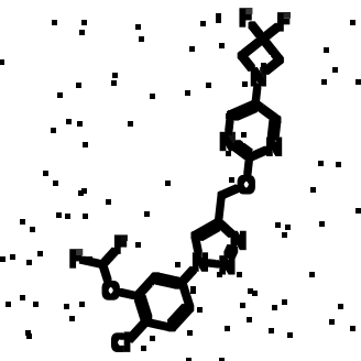 FC(F)Oc1cc(-n2cc(COc3ncc(N4CC(F)(F)C4)cn3)nn2)ccc1Cl